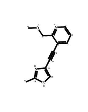 COCc1ncccc1C#Cc1csc(C)n1